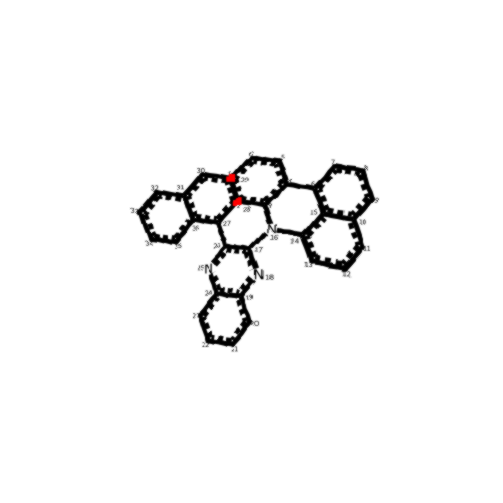 c1ccc2c(c1)-c1cccc3cccc(c13)N2c1nc2ccccc2nc1-c1cccc2ccccc12